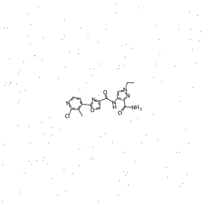 CCn1cc(NC(=O)c2coc(-c3ccnc(Cl)c3C)n2)c(C(N)=O)n1